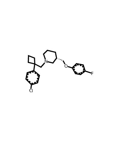 Fc1ccc(OC[C@H]2CCCN(CC3(c4ccc(Cl)cc4)CCC3)C2)cc1